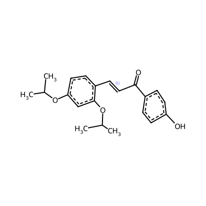 CC(C)Oc1ccc(/C=C/C(=O)c2ccc(O)cc2)c(OC(C)C)c1